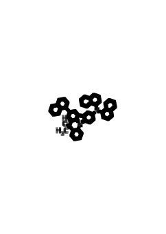 CC1(C)c2ccccc2-n2c3ccc(N(c4cccc5ccccc45)c4cccc5ccccc45)cc3c3cc(-c4cccc5ccccc45)cc1c32